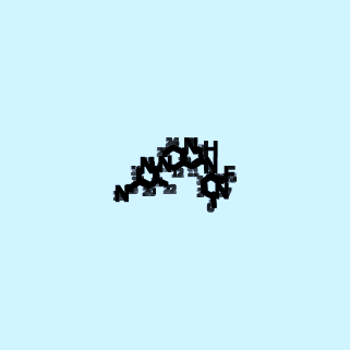 Cc1ccc(Nc2cnc3c(c2)CN(c2ncc(C#N)cc2C)CC3)c(F)n1